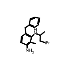 Cc1c(N)ccc(Cc2ccccc2)c1NC(C)CC(C)C